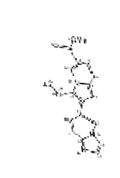 COC(=O)c1ccc2nc(-c3ccc4nccn4c3)c(NC(C)(C)C)n2c1